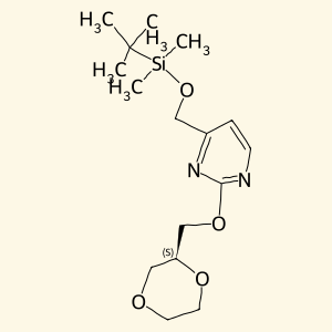 CC(C)(C)[Si](C)(C)OCc1ccnc(OC[C@@H]2COCCO2)n1